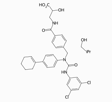 CC(C)CO.O=C(NCC(O)C(=O)O)c1ccc(CN(C(=O)Nc2cc(Cl)cc(Cl)c2)c2ccc(C3=CCCCC3)cc2)cc1